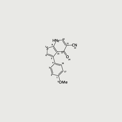 COc1ccc(-c2csc3[nH]cc(C#N)c(=O)c23)cc1